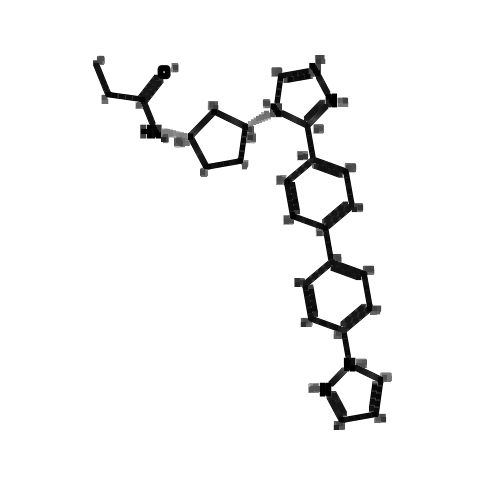 CCC(=O)N[C@H]1CC[C@@H](n2cnnc2-c2ccc(-c3ccc(-n4cccn4)cc3)cc2)C1